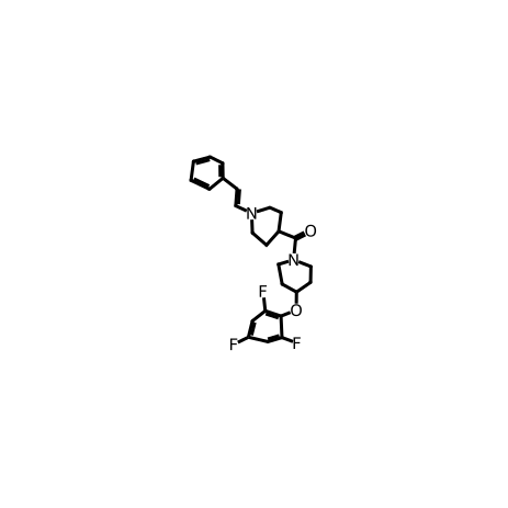 O=C(C1CCN(/C=C/c2ccccc2)CC1)N1CCC(Oc2c(F)cc(F)cc2F)CC1